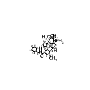 COc1cc(C(=O)NCc2ccccc2)ccc1Nc1ncc2c(n1)N(C1CCCC1)CC(C)(C)C(=O)N2C